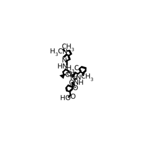 Cc1cccc(C)c1-c1cc(OCC(CC2(C)CC2)NCc2cc3ccn(C(C)C)c3cn2)nc(NS(=O)(=O)c2cccc(C(=O)O)c2)n1